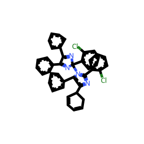 Clc1ccccc1-c1nc(C2C=CC=CC2)c(-c2ccccc2)n1C1(c2ccccc2Cl)N=C(c2ccccc2)C(c2ccccc2)=N1